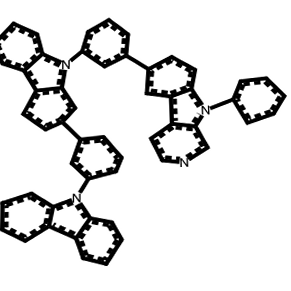 c1ccc(-n2c3ccc(-c4cccc(-n5c6ccccc6c6ccc(-c7cccc(-n8c9ccccc9c9ccccc98)c7)cc65)c4)cc3c3ccncc32)cc1